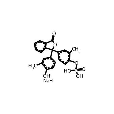 Cc1cc(C2(c3ccc(OP(=O)(O)O)c(C)c3)OC(=O)c3ccccc32)ccc1O.[NaH]